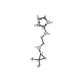 FC1(F)C[C@@H]1OCCOc1nnco1